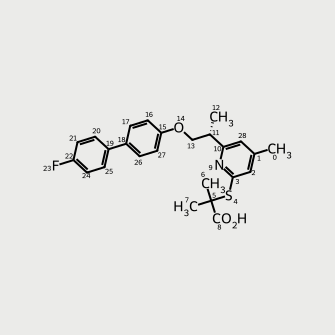 Cc1cc(SC(C)(C)C(=O)O)nc([C@@H](C)COc2ccc(-c3ccc(F)cc3)cc2)c1